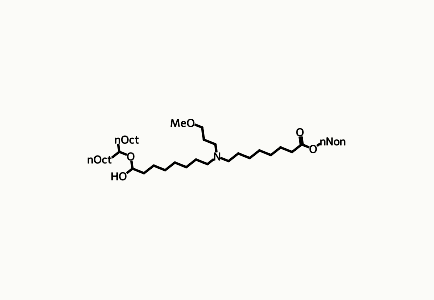 CCCCCCCCCOC(=O)CCCCCCCN(CCCCCCCC(O)OC(CCCCCCCC)CCCCCCCC)CCCOC